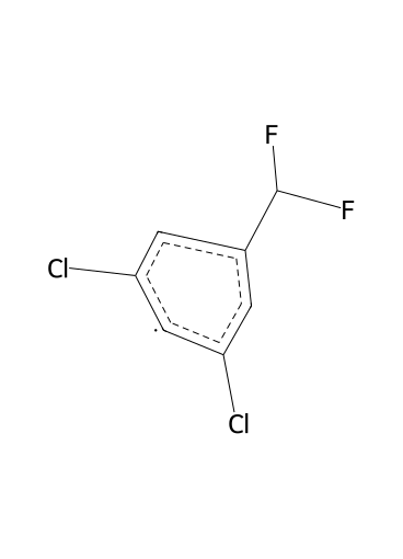 FC(F)c1cc(Cl)[c]c(Cl)c1